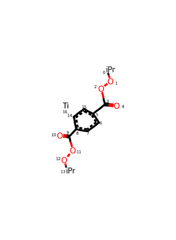 CC(C)OOC(=O)c1ccc(C(=O)OOC(C)C)cc1.[Ti]